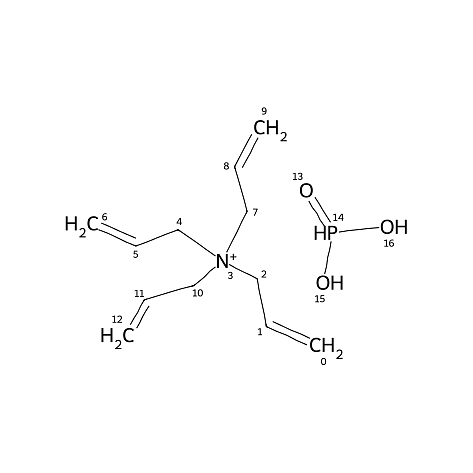 C=CC[N+](CC=C)(CC=C)CC=C.O=[PH](O)O